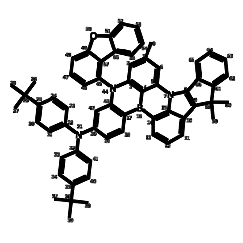 Cc1cc2c3c(c1)-n1c4c(c5cccc(c51)B3c1ccc(N(c3ccc(C(C)(C)C)cc3)c3ccc(C(C)(C)C)cc3)cc1N2c1cccc2oc3ccccc3c12)C(C)(C)c1ccccc1-4